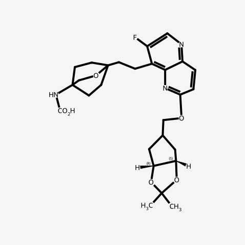 CC1(C)O[C@H]2CC(COc3ccc4ncc(F)c(CCC56CCC(NC(=O)O)(CC5)CO6)c4n3)C[C@H]2O1